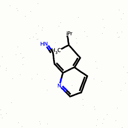 CC(C)C(C)/C=c1/cccn/c1=C/C=N